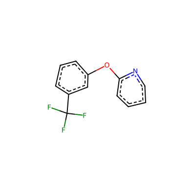 FC(F)(F)c1cccc(Oc2ccccn2)c1